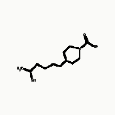 CC(S)CCCCC1CCN(C(=O)C(C)C)CC1